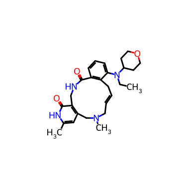 CCN(c1cccc2c1C/C=C/CN(C)Cc1cc(C)[nH]c(=O)c1CNC2=O)C1CCOCC1